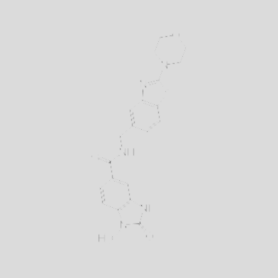 Cn1c(=O)[nH]c2cc(C(=O)NCc3ccc4sc(N5CCOCC5)nc4c3)ccc21